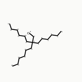 CCCCCCC(CCl)(CCCCCC)CCCCCC